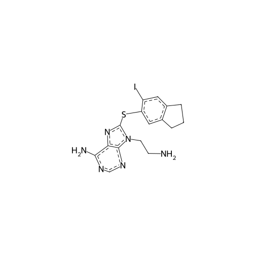 NCCn1c(Sc2cc3c(cc2I)CCC3)nc2c(N)ncnc21